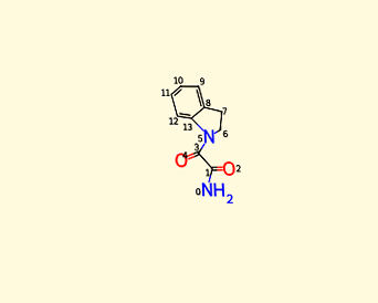 NC(=O)C(=O)N1CCc2ccccc21